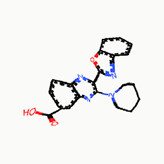 O=C(O)c1ccc2nc(-c3nc4ccccc4o3)c(N3CCCCC3)nc2c1